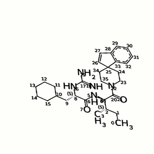 CC[C@H](C)[C@@H](NC(=O)[C@H](CC1CCCCC1)NC(=N)N)C(=O)N1CCC2(C=Cc3ccccc32)CC1